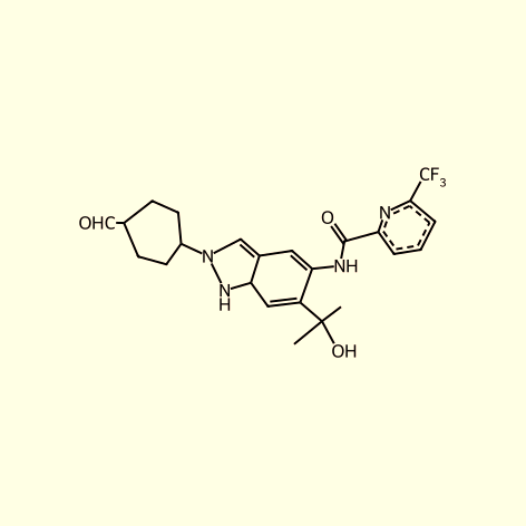 CC(C)(O)C1=CC2NN(C3CCC(C=O)CC3)C=C2C=C1NC(=O)c1cccc(C(F)(F)F)n1